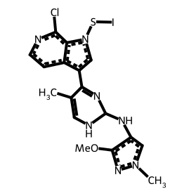 COc1nn(C)cc1NC1N=C(c2cn(SI)c3c(Cl)nccc23)C(C)=CN1